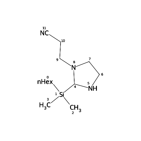 CCCCCC[Si](C)(C)C1NCCN1CCC#N